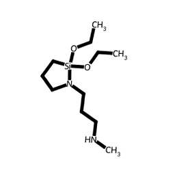 CCO[Si]1(OCC)CCCN1CCCNC